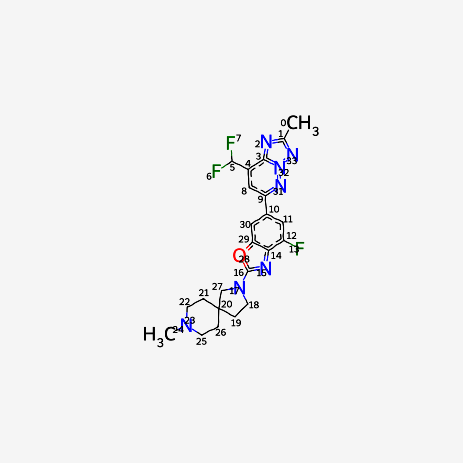 Cc1nc2c(C(F)F)cc(-c3cc(F)c4nc(N5CCC6(CCN(C)CC6)C5)oc4c3)nn2n1